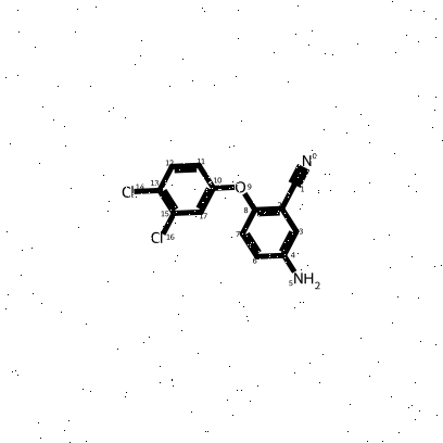 N#Cc1cc(N)ccc1Oc1ccc(Cl)c(Cl)c1